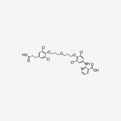 O=C(O)CCc1cc(Cl)c(OCCCOCCCOc2c(Cl)cc(Nc3ncccc3C(=O)O)cc2Cl)c(Cl)c1